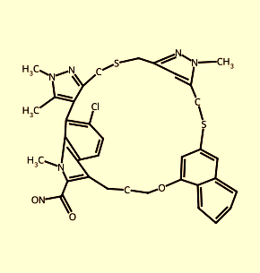 Cc1c2c(nn1C)CSCc1cc(n(C)n1)CSc1cc(c3ccccc3c1)OCCCc1c(C(=O)N=O)n(C)c3c-2c(Cl)ccc13